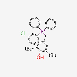 CC(C)(C)c1cc(C[P+](c2ccccc2)(c2ccccc2)c2ccccc2)cc(C(C)(C)C)c1O.[Cl-]